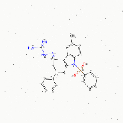 Cc1ccc2c(c1)c1c(n2S(=O)(=O)c2ccccc2)CC(c2ccccc2)C/C1=N\NC(=N)N